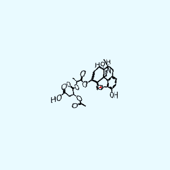 CC(=O)O[C@@H](CC(=O)O)C(=O)O[C@@H](C)C(=O)OC1=CC[C@@]2(O)[C@H]3Cc4ccc(O)c5c4C2(CCN3C)[C@H]1O5